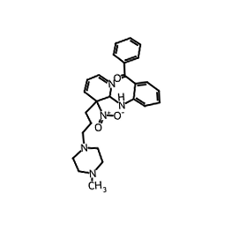 CN1CCN(CCCC2([N+](=O)[O-])C=CC=NC2Nc2ccccc2C(=O)c2ccccc2)CC1